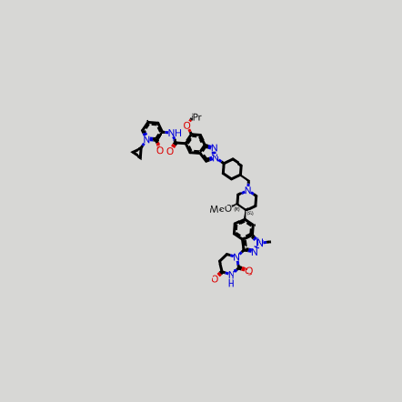 CO[C@H]1CN(CC2CCC(n3cc4cc(C(=O)Nc5cccn(C6CC6)c5=O)c(OC(C)C)cc4n3)CC2)CC[C@H]1c1ccc2c(N3CCC(=O)NC3=O)nn(C)c2c1